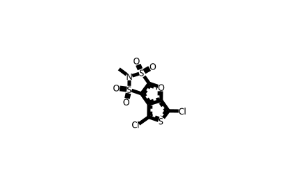 CN1S(=O)(=O)c2oc3c(Cl)sc(Cl)c3c2S1(=O)=O